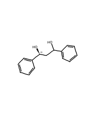 OC(C[C@H](O)c1ccccc1)c1ccccc1